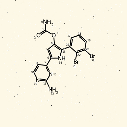 NC(=O)Oc1cc(-c2ccnc(N)n2)[nH]c1-c1cccc(Br)c1Br